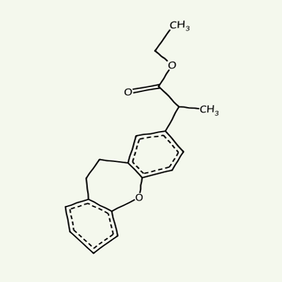 CCOC(=O)C(C)c1ccc2c(c1)CCc1ccccc1O2